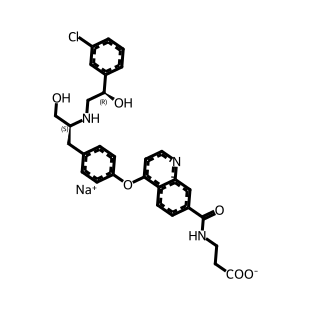 O=C([O-])CCNC(=O)c1ccc2c(Oc3ccc(C[C@@H](CO)NC[C@H](O)c4cccc(Cl)c4)cc3)ccnc2c1.[Na+]